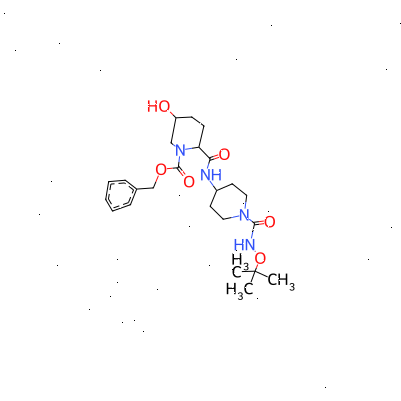 CC(C)(C)ONC(=O)N1CCC(NC(=O)C2CCC(O)CN2C(=O)OCc2ccccc2)CC1